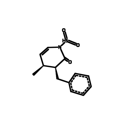 C[C@H]1C=CN([SH](=O)=O)C(=O)[C@H]1Cc1ccccc1